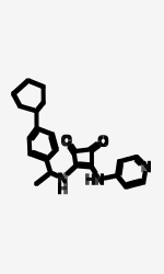 CC(Nc1c(Nc2ccncc2)c(=O)c1=O)c1ccc(C2CCCCC2)cc1